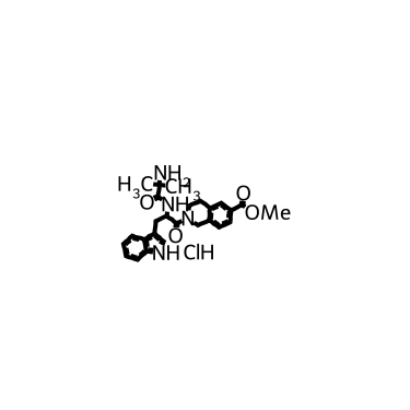 COC(=O)c1ccc2c(c1)CCN(C(=O)C(Cc1c[nH]c3ccccc13)NC(=O)C(C)(C)N)C2.Cl